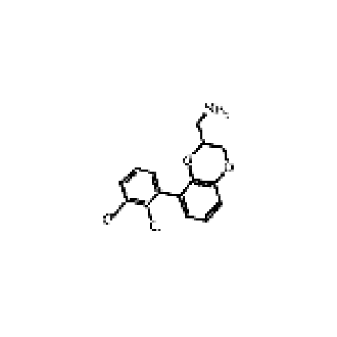 NCC1COc2cccc(-c3cccc(Cl)c3Cl)c2O1